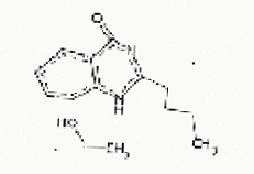 CCCCc1nc(=O)c2ccccc2[nH]1.CCO